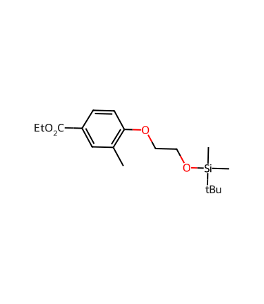 CCOC(=O)c1ccc(OCCO[Si](C)(C)C(C)(C)C)c(C)c1